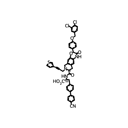 N#Cc1ccc(-c2ccc(C[C@H](NC(=O)[C@@H]3Cc4cc5c(cc4CN3CC#Cc3ccsc3)OC(c3ccc(OCc4ccc(Cl)c(Cl)c4)cc3)C(=O)N5)C(=O)O)cc2)cc1